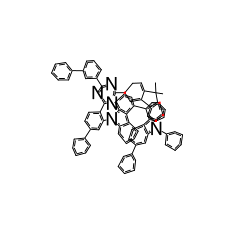 CC1(C)C2=CCC(c3nc(-c4cccc(-c5ccccc5)c4)nc(-c4ccc(-c5ccccc5)cc4-n4c5ccccc5c5c(-c6cccc7c6c6ccc(-c8ccccc8)cc6n7-c6ccccc6)cccc54)n3)C=C2c2ccccc21